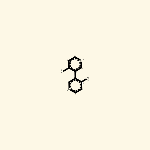 Clc1ccncc1-c1cnccc1Cl